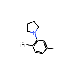 Cc1ccc(C(C)C)c(N2CCCC2)c1